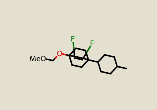 COCOC12CCC(C3CCC(C)CC3)(CC1)C(F)=C2F